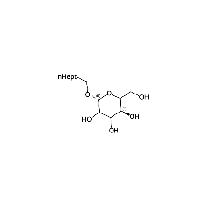 CCCCCCCCO[C@@H]1OC(CO)[C@@H](O)C(O)C1O